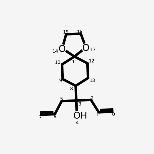 C=CCC(O)(CC=C)C1CCC2(CC1)OCCO2